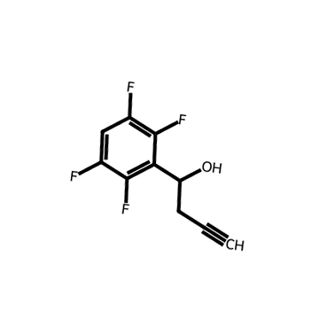 C#CCC(O)c1c(F)c(F)cc(F)c1F